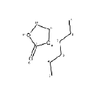 CCCCCC.O=C1OCCO1